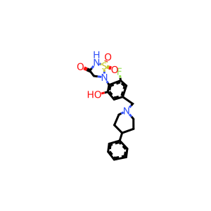 O=C1CN(c2c(O)cc(CN3CCC(c4ccccc4)CC3)cc2F)S(=O)(=O)N1